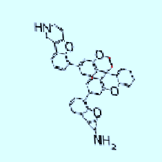 NC1c2oc3c(-c4ccc5c(c4)Oc4ccccc4C54c5ccccc5Oc5cc(-c6cccc7c8c(oc67)C=CNC8)ccc54)cccc3c21